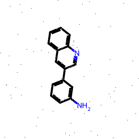 Nc1cccc(-c2cnc3ccccc3c2)c1